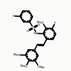 COc1cc(C=Cc2ccc(F)c(OC)c2NS(=O)(=O)c2cccc(F)c2)cc(OC)c1OC